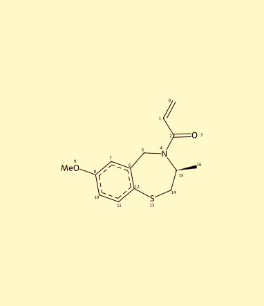 C=CC(=O)N1Cc2cc(OC)ccc2SC[C@@H]1C